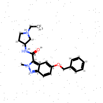 Cn1nc2ccc(OCc3ccccc3)cc2c1C(=O)NC1CCN(CC(F)(F)F)C1